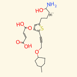 CC1CCC(OCC#Cc2ccc(CC[C@@H](C)C(N)O)s2)CC1.O=C(O)C=CC(=O)O